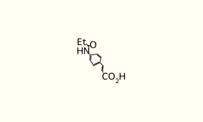 CCC(=O)Nc1ccc(/C=C/C(=O)O)cc1